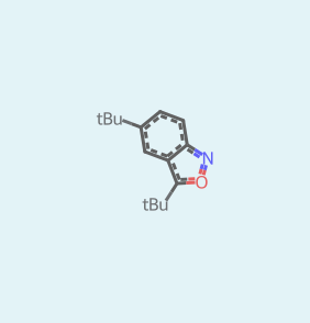 CC(C)(C)c1ccc2noc(C(C)(C)C)c2c1